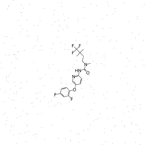 CN(CCC(C)(C)C(F)(F)F)C(=O)Nc1ccc(Oc2ccc(F)cc2F)cn1